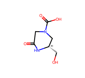 O=C1CN(C(=O)O)C[C@H](CO)N1